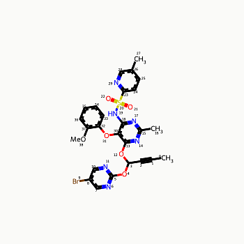 CC#CC(Oc1ncc(Br)cn1)Oc1nc(C)nc(NS(=O)(=O)c2ccc(C)cn2)c1Oc1ccccc1OC